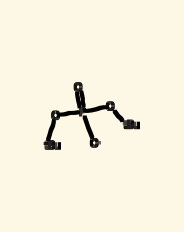 CC(C)(C)OP([O])(=O)OC(C)(C)C